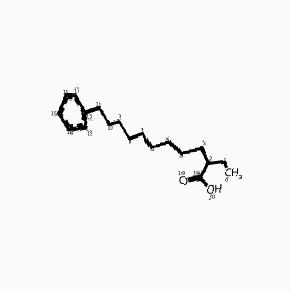 CCC(CCCCCCC[CH]Cc1ccccc1)C(=O)O